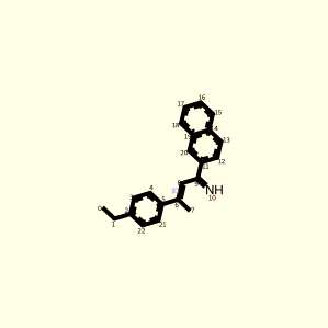 CCc1ccc(/C(C)=C/C(=N)c2ccc3ccccc3c2)cc1